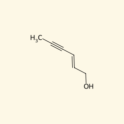 CC#C/C=C/CO